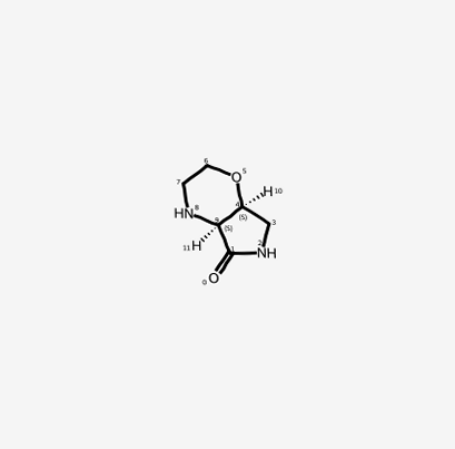 O=C1NC[C@@H]2OCCN[C@H]12